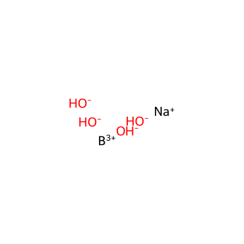 [B+3].[Na+].[OH-].[OH-].[OH-].[OH-]